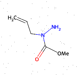 C=CCN(N)C(=O)OC